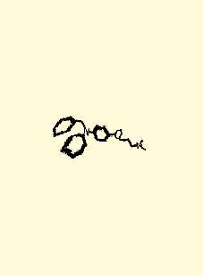 CN(C)CCCOc1ccc(N(Cc2ccccc2)c2ccccc2)cc1